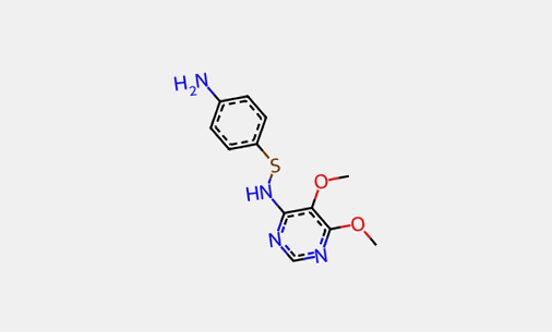 COc1ncnc(NSc2ccc(N)cc2)c1OC